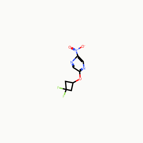 O=[N+]([O-])c1cnc(OC2CC(F)(F)C2)cn1